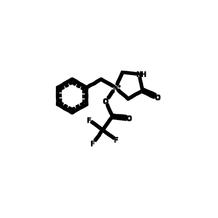 O=C1C[N+](Cc2ccccc2)(OC(=O)C(F)(F)F)CN1